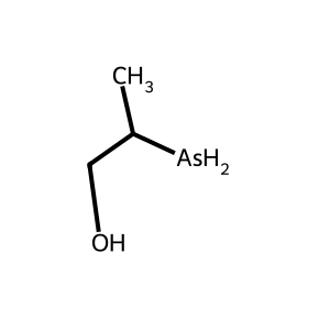 CC([AsH2])CO